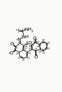 NC(=S)NN=C1C(=O)C(=O)C2C=CC=C(C3=CC(=O)c4ccccc4C3=O)C2=C1S(=O)(=O)O